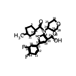 CC1CCC(C(=O)N(c2sc(-c3ccc(F)c(F)c3)cc2C(=O)O)C2CCOCC2)CC1